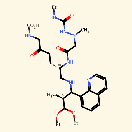 CCNC(=O)NN(C)CC(=O)N[C@@H](CCC(=O)CNC(=O)O)CNC(c1cccc2cccnc12)[C@H](C)C(OCC)OCC